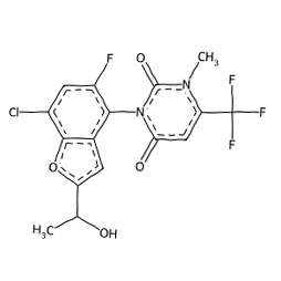 CC(O)c1cc2c(-n3c(=O)cc(C(F)(F)F)n(C)c3=O)c(F)cc(Cl)c2o1